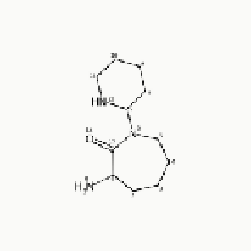 NC1CCCCN(C2CCCCN2)C1=O